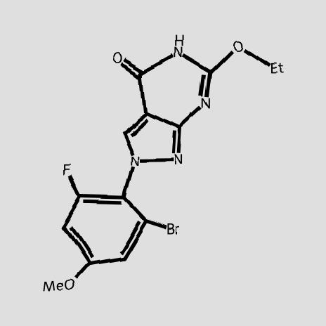 CCOc1nc2nn(-c3c(F)cc(OC)cc3Br)cc2c(=O)[nH]1